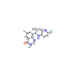 Cc1cc(C(C)Nc2ccc(Cl)nc2C(=O)O)c2ncn(C)c(=O)c2c1